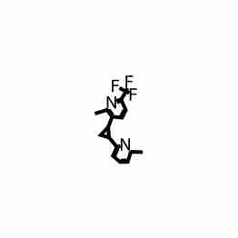 Cc1cccc(C2CC2c2ccc(C(F)(F)F)nc2C)n1